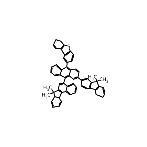 CC1(C)C2=C(CCC=C2)c2ccc(-c3ccc4c(-c5ccc6sc7c(c6c5)C=CCC7)c5ccccc5c(-c5cc6c(c7ccccc57)C5C=CC=CC5C6(C)C)c4c3)cc21